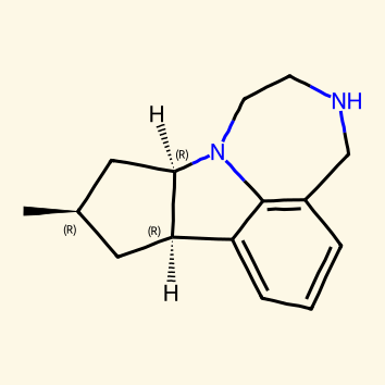 C[C@@H]1C[C@@H]2c3cccc4c3N(CCNC4)[C@@H]2C1